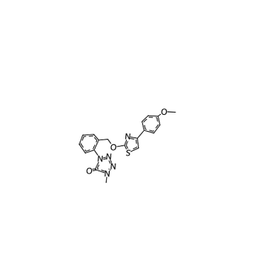 COc1ccc(-c2csc(OCc3ccccc3-n3nnn(C)c3=O)n2)cc1